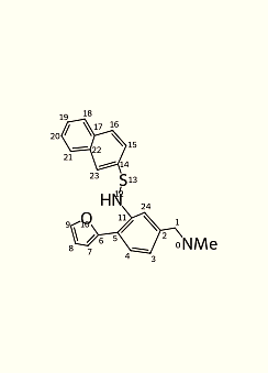 CNCc1ccc(-c2ccco2)c(NSc2ccc3ccccc3c2)c1